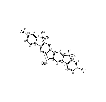 CCC(C)n1c2cc3c(cc2c2cc4c(cc21)-c1ccc(C(C)=O)cc1C4(C)C)C(C)(C)c1cc(C(C)=O)ccc1-3